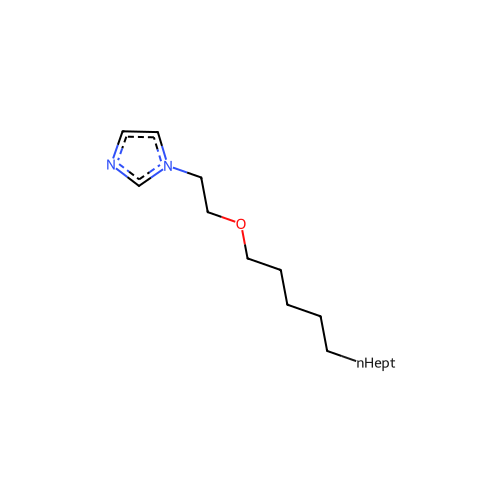 CCCCCCCCCCCCOCCn1ccnc1